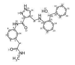 CNC(=O)Cc1cccc(NC(=O)c2n[nH]cc2CNc2ccccc2[C@H](O)c2ccccc2)c1